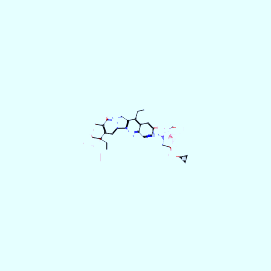 CCc1c2c(nc3ccc(OP(=O)(COC)N[C@@H](C)C(=O)OC4CC4)cc13)-c1cc3c(c(=O)n1C2)COC(=O)[C@]3(O)CC